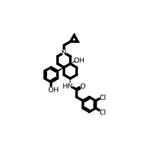 O=C(Cc1ccc(Cl)c(Cl)c1)N[C@H]1CC[C@]2(O)CN(CC3CC3)CC[C@@]2(c2cccc(O)c2)C1